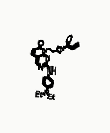 C=CC(=O)N1CC(CCn2c(=O)ccc3cnc(Nc4ccc(N(CC)CC)cc4)nc32)C1